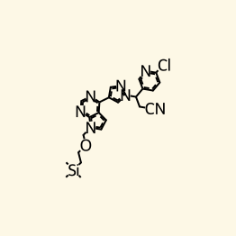 C[Si](C)(C)CCOCn1ccc2c(-c3cnn(C(CC#N)c4ccc(Cl)nc4)c3)ncnc21